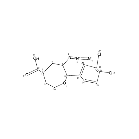 [N-]=[N+]=NC1CN(C(=O)O)CCOC1c1ccc(Cl)c(Cl)c1